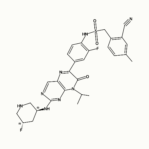 Cc1ccc(CS(=O)(=O)Nc2ccc(-c3nc4cnc(N[C@@H]5CNC[C@@H](F)C5)nc4n(C(C)C)c3=O)cc2F)c(C#N)c1